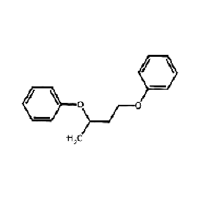 [CH2]C(CCOc1ccccc1)Oc1ccccc1